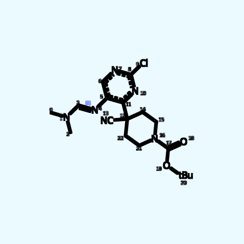 CN(C)/C=N/c1cnc(Cl)nc1C1(C#N)CCN(C(=O)OC(C)(C)C)CC1